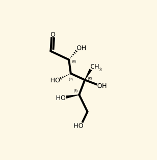 C[C@@](O)([C@H](O)CO)[C@H](O)[C@@H](O)C=O